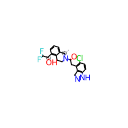 C[C@H]1c2cccc([C@H](O)C(F)F)c2CCN1C(=O)Cc1c(Cl)ccc2[nH]ncc12